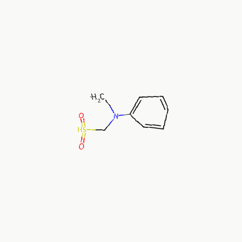 [CH2]N(C[SH](=O)=O)c1ccccc1